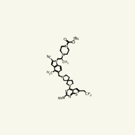 CNc1nc(N2CCC3(CCN(Cc4ccc5c(cc(C#N)n5C[C@H](C)N5CCN(C(=O)OC(C)(C)C)CC5)c4C)C3)C2)c2cc(CC(F)(F)F)sc2n1